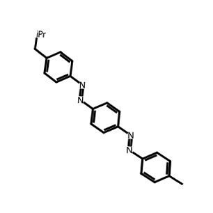 Cc1ccc(N=Nc2ccc(N=Nc3ccc(CC(C)C)cc3)cc2)cc1